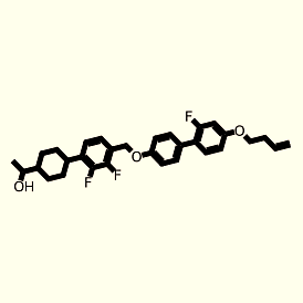 C=CCCOc1ccc(-c2ccc(OCc3ccc(C4CCC(C(C)O)CC4)c(F)c3F)cc2)c(F)c1